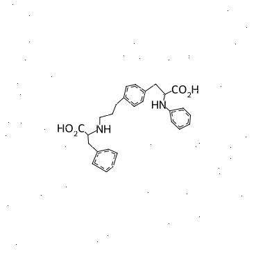 O=C(O)C(Cc1ccccc1)NCCCc1ccc(CC(Nc2ccccc2)C(=O)O)cc1